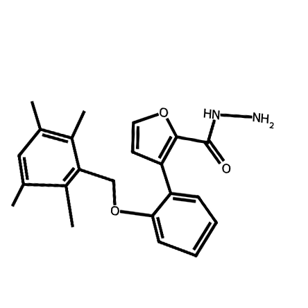 Cc1cc(C)c(C)c(COc2ccccc2-c2ccoc2C(=O)NN)c1C